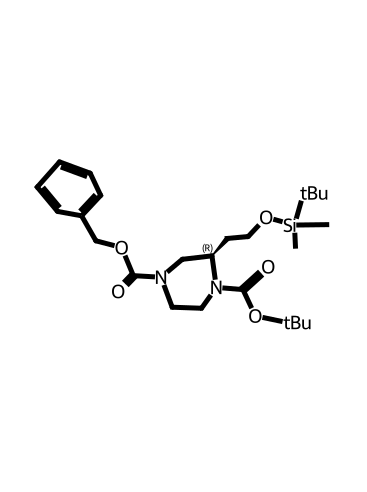 CC(C)(C)OC(=O)N1CCN(C(=O)OCc2ccccc2)C[C@H]1CCO[Si](C)(C)C(C)(C)C